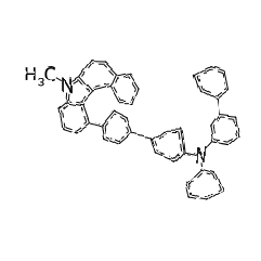 Cn1c2cccc(-c3ccc(-c4ccc(N(c5ccccc5)c5cccc(-c6ccccc6)c5)cc4)cc3)c2c2c3ccccc3ccc21